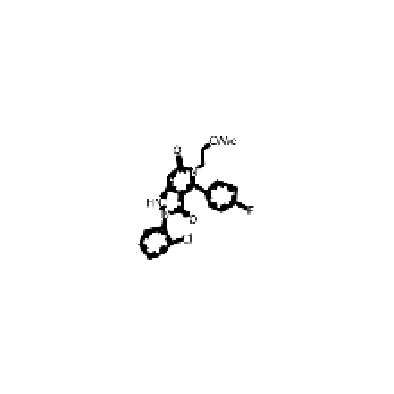 COCCn1c(-c2ccc(F)cc2)c2c(=O)n(-c3ccccc3Cl)[nH]c2cc1=O